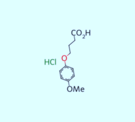 COc1ccc(OCCCC(=O)O)cc1.Cl